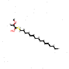 CCCCCCCCCCCCCCCCSC(O)C(C)OC